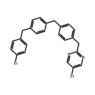 CCc1ccc(Cc2ccc(Cc3ccc(Cc4ncc(CC)cn4)cc3)cc2)cc1